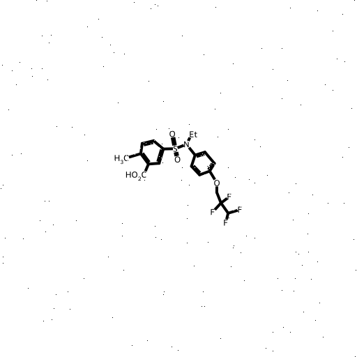 CCN(c1ccc(OCC(F)(F)C(F)F)cc1)S(=O)(=O)c1ccc(C)c(C(=O)O)c1